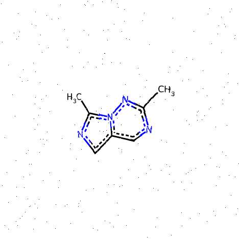 Cc1ncc2cnc(C)n2n1